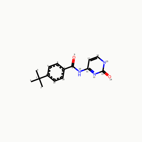 CC(C)(C)c1ccc(C(=O)NC2=NC(=O)[N]C=C2)cc1